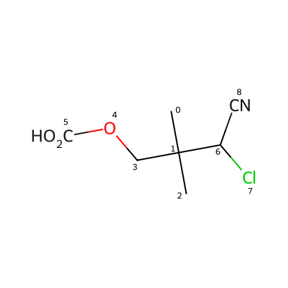 CC(C)(COC(=O)O)C(Cl)C#N